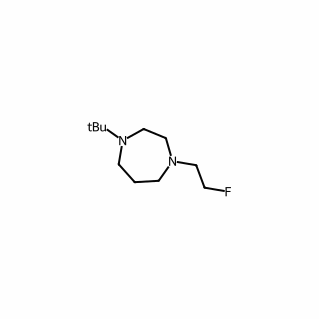 CC(C)(C)N1CCCN(CCF)CC1